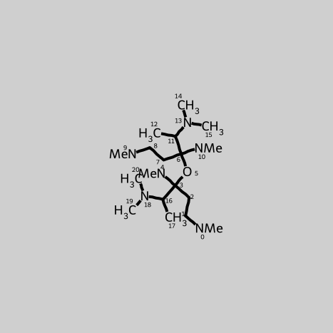 CNCCC(NC)(OC(CCNC)(NC)C(C)N(C)C)C(C)N(C)C